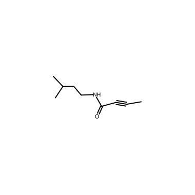 CC#CC(=O)NCCC(C)C